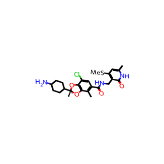 CSc1cc(C)[nH]c(=O)c1CNC(=O)c1cc(Cl)c2c(c1C)O[C@](C)(C1CCC(N)CC1)O2